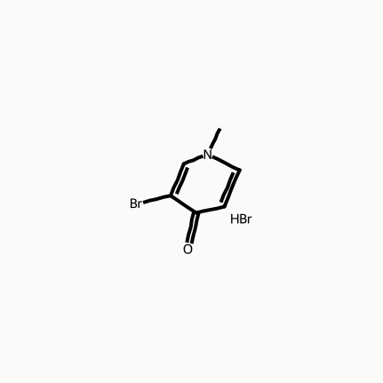 Br.Cn1ccc(=O)c(Br)c1